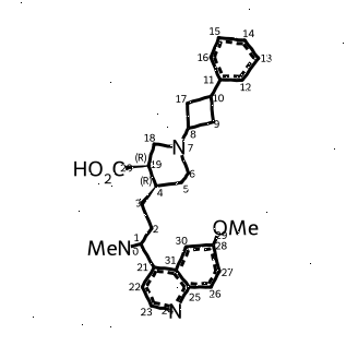 CNC(CC[C@@H]1CCN(C2CC(c3ccccc3)C2)C[C@@H]1C(=O)O)c1ccnc2ccc(OC)cc12